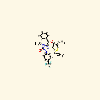 [CH2]C[SH]1C=C(C)C(OC(c2ccccc2)c2nn(-c3ccc(C(F)(F)F)cc3)c(=O)n2C)=C1